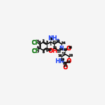 N[C@@H](c1cc(Cl)c(Cl)cc1O)C1CCN(C(=O)[C@H]2CNC(=O)OC2)CC1